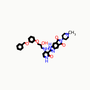 CN1CCC(N2C(=O)c3cc4nc(-c5c(NCC(O)COc6cccc(OCc7ccccc7)c6)cc[nH]c5=O)[nH]c4cc3C2=O)CC1